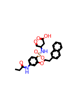 CCC(=O)Nc1ccc(S(=O)(=O)NC(C=O)CC(=O)O)c(OCCc2ccc3ccccc3c2)c1